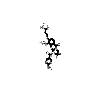 CNC(=O)CCOc1ccc2c(=O)n(CC(F)(F)F)c(NC(=O)c3cnc(N)nc3)nc2c1OC